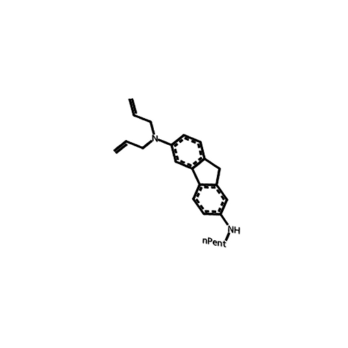 C=CCN(CC=C)c1ccc2c(c1)-c1ccc(NCCCCC)cc1C2